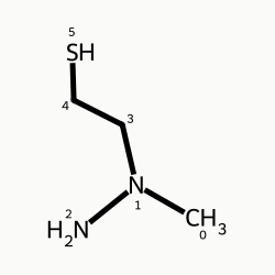 CN(N)CCS